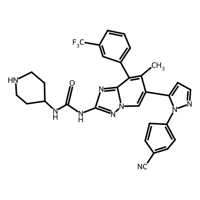 Cc1c(-c2ccnn2-c2ccc(C#N)cc2)cn2nc(NC(=O)NC3CCNCC3)nc2c1-c1cccc(C(F)(F)F)c1